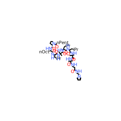 CCCCCCCCC(NC(=O)[C@@H]1CCCN1C(=O)CCCCC)C(=O)NC(CC(C)C)C(=O)NC(C)(C)C(=O)NC(CC(C)C)C(=O)NC(CC(C)C)C(=O)NC(C)(C)C(=O)NC(C)(C)C(=O)NCCC(=O)NCCn1cccc1